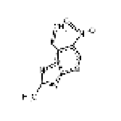 C=Cc1c([N+](=O)[O-])cnc2sc(C)nc12